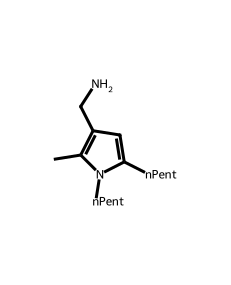 CCCCCc1cc(CN)c(C)n1CCCCC